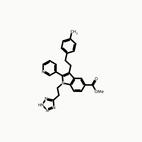 COC(=O)c1ccc2c(c1)c(CCc1ccc(C)cc1)c(-c1cccnc1)n2CCc1nn[nH]n1